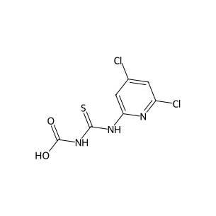 O=C(O)NC(=S)Nc1cc(Cl)cc(Cl)n1